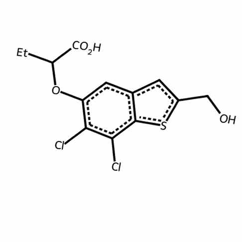 CCC(Oc1cc2cc(CO)sc2c(Cl)c1Cl)C(=O)O